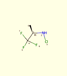 C[C@@H](NCl)C(F)(F)F